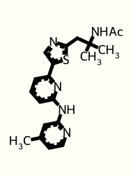 CC(=O)NC(C)(C)Cc1ncc(-c2cccc(Nc3cc(C)ccn3)n2)s1